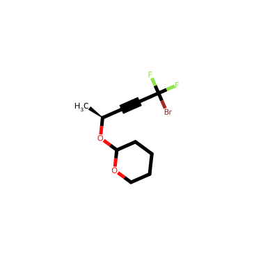 C[C@@H](C#CC(F)(F)Br)OC1CCCCO1